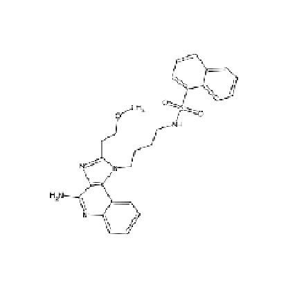 COCCc1nc2c(N)nc3ccccc3c2n1CCCCNS(=O)(=O)c1cccc2ccccc12